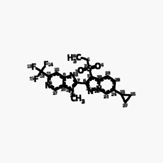 CCS(=O)(=O)c1c(-c2nc3cc(C(F)(F)F)ncc3n2C)nn2cc(C3CC3)ccc12